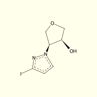 O[C@@H]1COC[C@@H]1n1ccc(I)n1